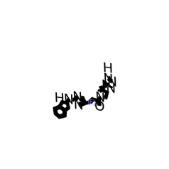 CC1(c2c[nH]nn2)CCN(C(=O)/C=C/c2cnc(NC3Cc4ccccc4C3)nc2)C1